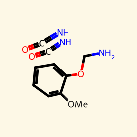 COc1ccccc1OCN.N=C=O.N=C=O